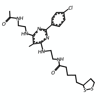 CC(=O)NCCNc1nc(-c2ccc(Cl)cc2)nc(NCCNC(=O)CCCCC2CCSS2)c1C